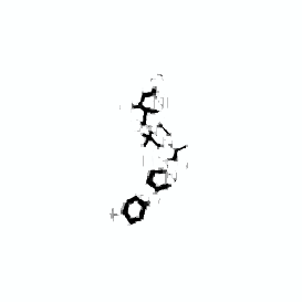 CC(C(=O)Nc1ccc(Oc2ccc(F)cc2)cn1)N1CCN(C(=O)c2c[nH]c(=O)cc2Cl)C(C)(C)C1